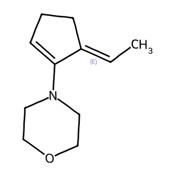 C/C=C1\CCC=C1N1CCOCC1